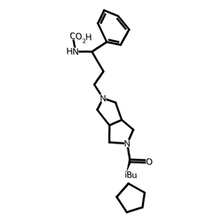 C1CCCC1.CC[C@H](C)C(=O)N1CC2CN(CCC(NC(=O)O)c3ccccc3)CC2C1